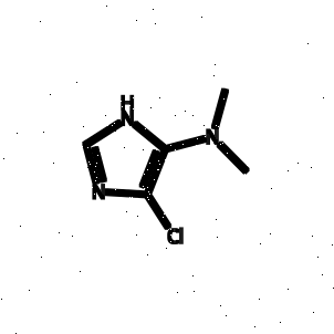 CN(C)c1[nH]cnc1Cl